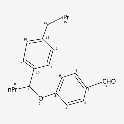 CCCC(Oc1ccc(C=O)cc1)c1ccc(CC(C)C)cc1